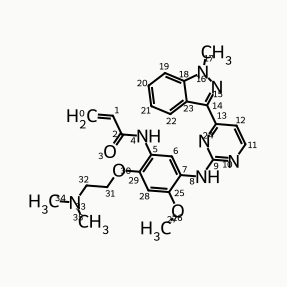 C=CC(=O)Nc1cc(Nc2nccc(-c3nn(C)c4ccccc34)n2)c(OC)cc1OCCN(C)C